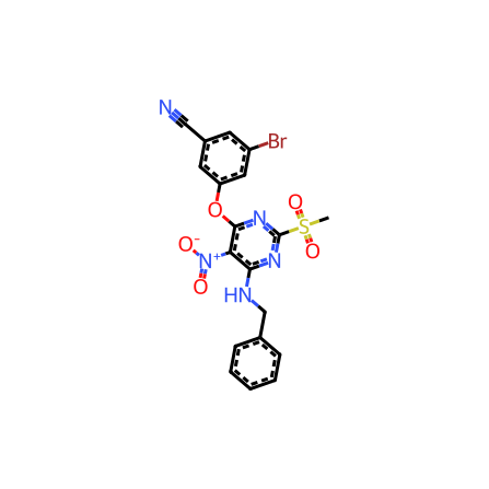 CS(=O)(=O)c1nc(NCc2ccccc2)c([N+](=O)[O-])c(Oc2cc(Br)cc(C#N)c2)n1